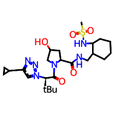 CC(C)(C)[C@H](C(=O)N1CC(O)CC1C(=O)NCC1CCCCC1NS(C)(=O)=O)n1cc(C2CC2)nn1